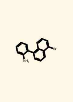 Nc1ccccc1-c1cccc2c(Br)cccc12